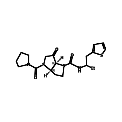 CCC(Cc1cccs1)NC(=O)N1CC[C@@H]2[C@H]1C(=O)CN2C(=O)N1CCCC1